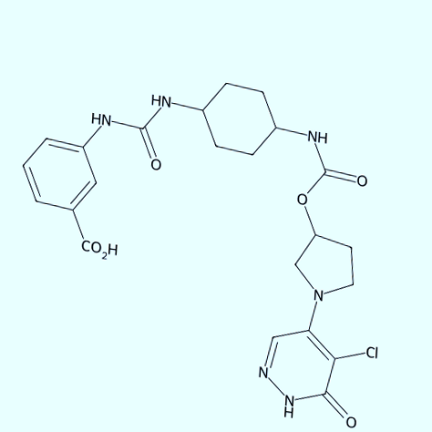 O=C(Nc1cccc(C(=O)O)c1)NC1CCC(NC(=O)OC2CCN(c3cn[nH]c(=O)c3Cl)C2)CC1